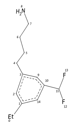 CCc1cc(CCCCN)cc(C(F)F)c1